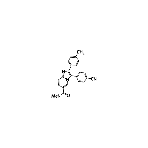 CNC(=O)c1ccc2nc(-c3ccc(C)cc3)c(-c3ccc(C#N)cc3)n2c1